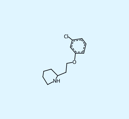 Clc1cccc(OCCC2CCCCN2)c1